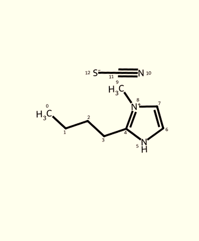 CCCCc1[nH]cc[n+]1C.N#C[S-]